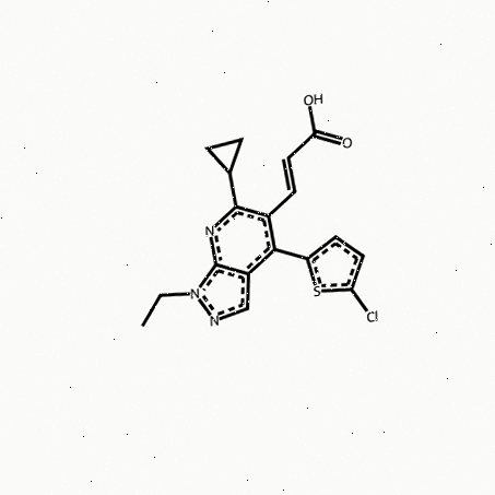 CCn1ncc2c(-c3ccc(Cl)s3)c(/C=C/C(=O)O)c(C3CC3)nc21